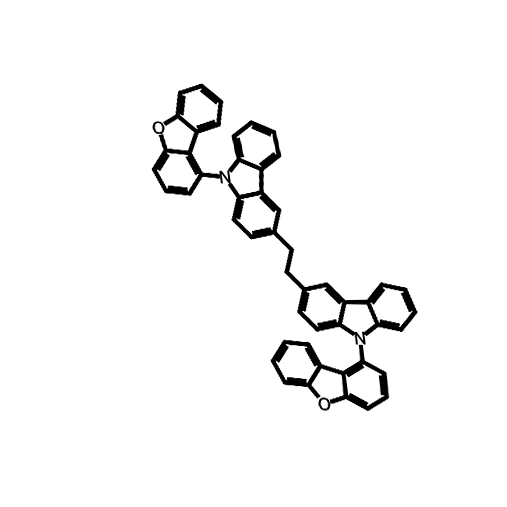 c1ccc2c(c1)oc1cccc(-n3c4ccccc4c4cc(CCc5ccc6c(c5)c5ccccc5n6-c5cccc6oc7ccccc7c56)ccc43)c12